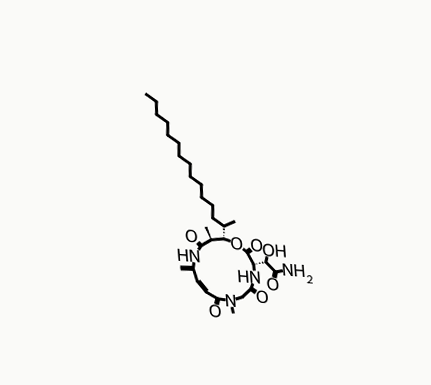 C=C1C=CC(=O)N(C)CC(=O)N[C@@H](C(O)C(N)=O)C(=O)O[C@@H](C(C)CCCCCCCCCCCCC)[C@H](C)C(=O)N1